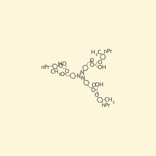 CCCc1ccc(OCC(CO)OC(=O)Cc2ccc(N3CN(c4ccc(CC(=O)OC(CO)COc5ccc(CCC)c(C)c5)cc4)CN(c4ccc(CC(=O)OC(CO)COc5ccc(CCC)c(C)c5)cc4)C3)cc2)cc1C